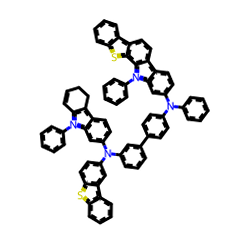 C1=Cc2c(c3ccc(N(c4cccc(-c5ccc(N(c6ccccc6)c6ccc7c8ccc9c%10ccccc%10sc9c8n(-c8ccccc8)c7c6)cc5)c4)c4ccc5sc6ccccc6c5c4)cc3n2-c2ccccc2)CC1